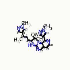 C=C(OC)/C(=C\C=C(/C)c1cnn(C)c1)Nc1ncc2ccnc(-c3cnn(C)c3)c2n1